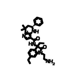 CCc1ccc(C(CC)(NC(=O)c2cnn3c2N[C@@H](c2ccccc2)CC3(C)C)C(=O)NCCN)cc1